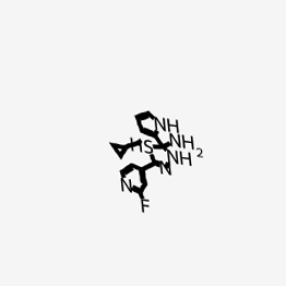 NC1(c2ccc[nH]2)NN=C(c2ccnc(F)c2)[SH]1CC1CC1